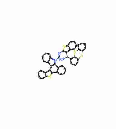 c1ccc2c(c1)Sc1cccc(C3NC(n4c5ccccc5c5c6c7ccccc7sc6c6ccccc6c54)=Nc4sc5ccccc5c43)c1S2